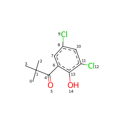 CC(C)(C)C(=O)c1cc(Cl)cc(Cl)c1O